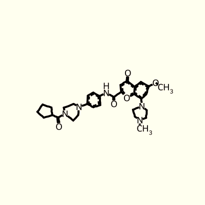 COc1cc(N2CCN(C)CC2)c2oc(C(=O)Nc3ccc(N4CCN(C(=O)C5CCCC5)CC4)cc3)cc(=O)c2c1